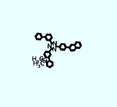 C[Si]1(C)c2ccccc2-c2cc(-c3nc(-c4ccc(-c5ccc6ccccc6c5)cc4)nc(-c4cccc(-c5ccccc5)c4)n3)ccc21